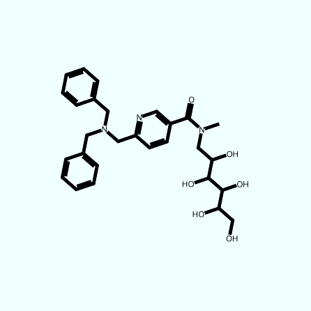 CN(CC(O)C(O)C(O)C(O)CO)C(=O)c1ccc(CN(Cc2ccccc2)Cc2ccccc2)nc1